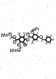 CCCOc1cc(OCc2ccccc2)cc(C)c1C(=O)Oc1c(C)c(C)c(C(=O)OCOC)c(OCOC)c1Br